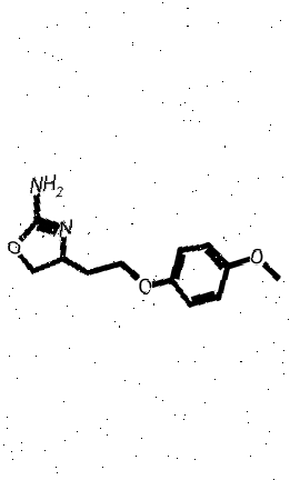 COc1ccc(OCCC2COC(N)=N2)cc1